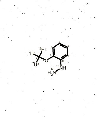 [2H]C([2H])([2H])Oc1ccccc1NN